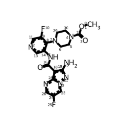 COC(=O)N1CCN(c2c(F)cncc2NC(=O)c2c(N)nn3cc(F)cnc23)CC1